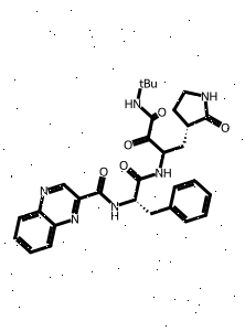 CC(C)(C)NC(=O)C(=O)C(C[C@@H]1CCNC1=O)NC(=O)[C@H](Cc1ccccc1)NC(=O)c1cnc2ccccc2n1